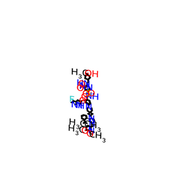 COc1ccc(CN2CCN(C3CC4(CCN(c5ccc(C(=O)NS(=O)(=O)c6cnc(NCC7CCC(C)(O)CC7)c([N+](=O)[O-])c6)c(Oc6cnc7[nH]cc(F)c7c6)c5)CC4)C3)[C@H](c3ccccc3C(C)C)C2)nc1OC